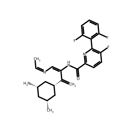 C=C(/C(=C\N=C/C)NC(=O)c1ccc(F)c(-c2c(F)cccc2F)n1)[C@@H]1C[C@H](C)C[C@H](N)C1